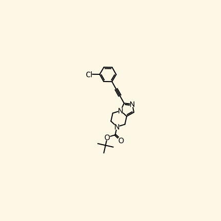 CC(C)(C)OC(=O)N1CCn2c(cnc2C#Cc2cccc(Cl)c2)C1